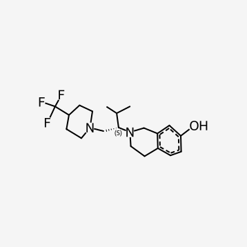 CC(C)[C@@H](CN1CCC(C(F)(F)F)CC1)N1CCc2ccc(O)cc2C1